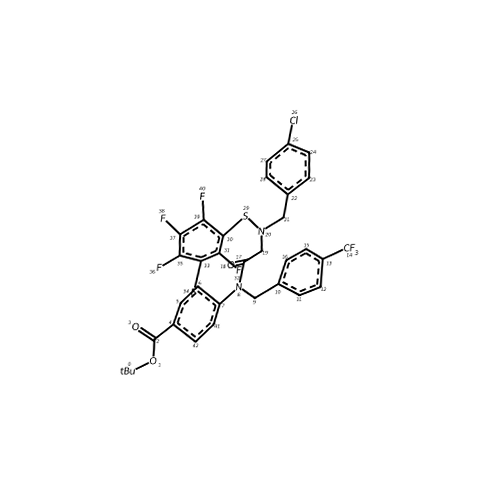 CC(C)(C)OC(=O)c1ccc(N(Cc2ccc(C(F)(F)F)cc2)C(=O)CN(Cc2ccc(Cl)cc2)Sc2c(F)c(F)c(F)c(F)c2F)cc1